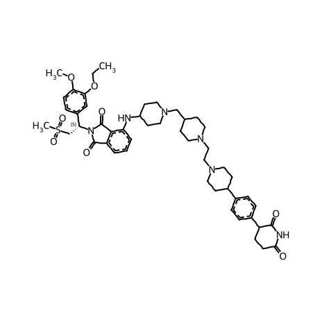 CCOc1cc([C@@H](CS(C)(=O)=O)N2C(=O)c3cccc(NC4CCN(CC5CCN(CCN6CCC(c7ccc(C8CCC(=O)NC8=O)cc7)CC6)CC5)CC4)c3C2=O)ccc1OC